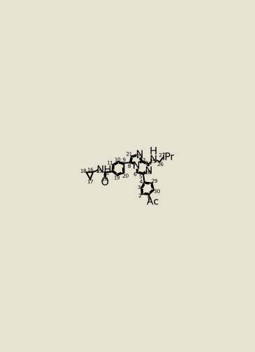 CC(=O)c1ccc(-c2cn3c(-c4ccc(C(=O)NC5CC5)cc4)cnc3c(NCC(C)C)n2)cc1